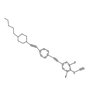 CCCCCC1CCC(C#Cc2ccc(C#Cc3cc(F)c(SC#N)c(F)c3)cc2)CC1